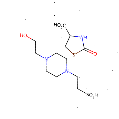 O=C1NC(C(=O)O)CS1.O=S(=O)(O)CCN1CCN(CCO)CC1